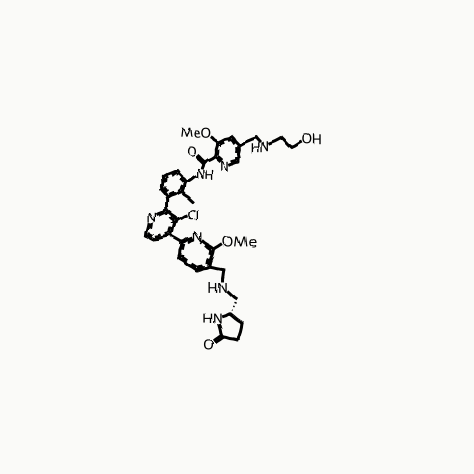 COc1cc(CNCCO)cnc1C(=O)Nc1cccc(-c2nccc(-c3ccc(CNC[C@@H]4CCC(=O)N4)c(OC)n3)c2Cl)c1C